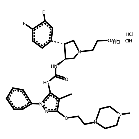 COCCN1C[C@@H](NC(=O)Nc2c(C)c(OCCN3CCN(C)CC3)nn2-c2ccccc2)[C@H](c2ccc(F)c(F)c2)C1.Cl.Cl.Cl